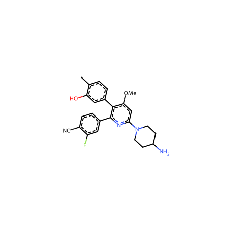 COc1cc(N2CCC(N)CC2)nc(-c2ccc(C#N)c(F)c2)c1-c1ccc(C)c(O)c1